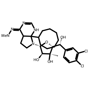 CN/N=C1/N=CNC2(C3CCCCCCC3)C1CCN2[C@@H]1O[C@H]([C@H](O)c2ccc(Cl)c(Cl)c2)[C@@](C)(O)[C@H]1O